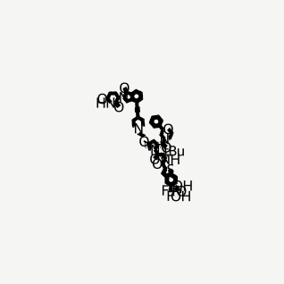 CC(C)(C)[C@H](NC(=O)c1cc2cc(C(F)(F)P(=O)(O)O)ccc2s1)C(=O)N1C[C@@H](OCCN2CCC(C#Cc3cccc4c3CN(C3CCC(=O)NC3=O)C4=O)CC2)C[C@H]1C(=O)N1CCOC(c2ccccc2)C1